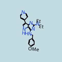 CCN(CC)c1nc(NCc2ccc(OC)cc2)c2[nH]cc(-c3ccncc3)c2n1